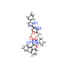 COC(=O)N[C@H](C(=O)Nc1ccccc1CC[C@@H]1CN[C@H](c2ncc(-c3ccccc3)[nH]2)CO1)C(c1ccccc1)c1ccccc1